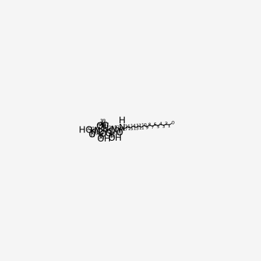 CCCCCCCCCCCCCCCCCCNC(=O)CN(CCN(CCN(CC(=O)O)CC(=O)O)OC(C)=O)CC(=O)O